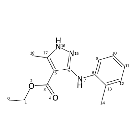 CCOC(=O)c1c(Nc2ccccc2C)n[nH]c1C